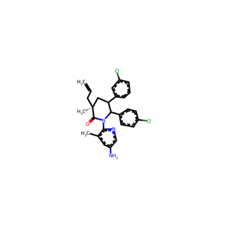 C=CC[C@@]1(C)CC(c2cccc(Cl)c2)C(c2ccc(Cl)cc2)N(c2ncc(N)cc2C)C1=O